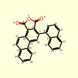 O=C1OC(=O)c2c1c(-c1cccc3ccccc13)cc1c2ccc2ccccc21